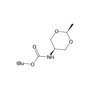 CC(C)(C)OC(=O)N[C@H]1CO[C@@H](C)OC1